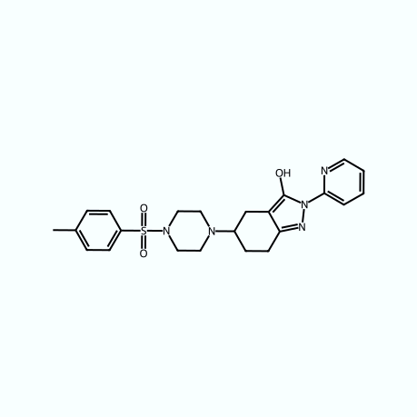 Cc1ccc(S(=O)(=O)N2CCN(C3CCc4nn(-c5ccccn5)c(O)c4C3)CC2)cc1